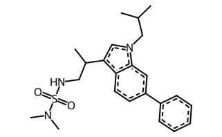 CC(C)Cn1cc(C(C)CNS(=O)(=O)N(C)C)c2ccc(-c3ccccc3)cc21